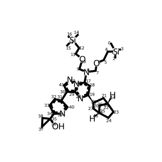 C[Si](C)(C)CCOCN(COCC[Si](C)(C)C)c1cc([C@H]2C[C@@H]3CC[C@@H](C3)C2)nc2c(-c3ccc(C4(O)CC4)nc3)cnn12